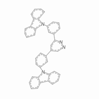 c1cc(-c2cnnc(-c3cccc(-n4c5ccccc5c5ccccc54)c3)c2)cc(-n2c3ccccc3c3ccccc32)c1